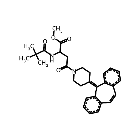 COC(=O)C(CC(=O)N1CCC(=C2c3ccccc3C=Cc3ccccc32)CC1)NC(=O)C(C)(C)C